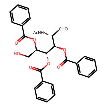 CC(=O)N[C@H](C=O)[C@@H](OC(=O)c1ccccc1)[C@H](OC(=O)c1ccccc1)[C@@H](CO)OC(=O)c1ccccc1